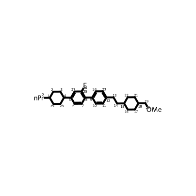 CCCC1CCC(c2ccc(-c3ccc(CCC4CCC(COC)CC4)cc3)c(F)c2)CC1